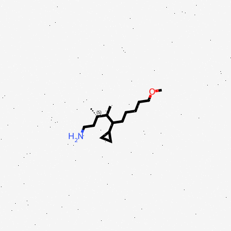 COCCCCCC(C1CC1)C(C)[C@@H](C)CCN